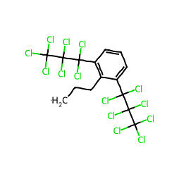 [CH2]CCc1c(C(Cl)(Cl)C(Cl)(Cl)C(Cl)(Cl)Cl)cccc1C(Cl)(Cl)C(Cl)(Cl)C(Cl)(Cl)Cl